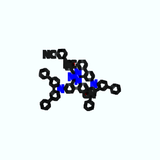 N#Cc1cccc(-c2ccc(-c3nc(-c4cc(-n5c6ccc(-c7ccccc7)cc6c6cc(-c7ccccc7)ccc65)ccc4-c4cccc(C#N)c4)nc(-c4cc(-n5c6ccc(-c7ccccc7)cc6c6cc(-c7ccccc7)ccc65)ccc4-c4cccc(C#N)c4)n3)cc2)c1